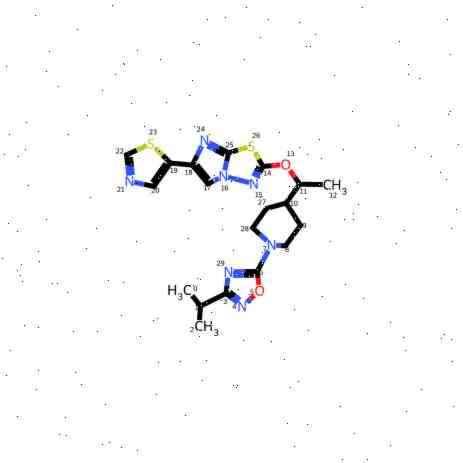 CC(C)c1noc(N2CCC(C(C)Oc3nn4cc(-c5cncs5)nc4s3)CC2)n1